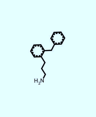 NCCCc1ccccc1Cc1ccccc1